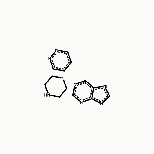 C1CNCCN1.c1ccnnc1.c1ncc2[nH]cnc2n1